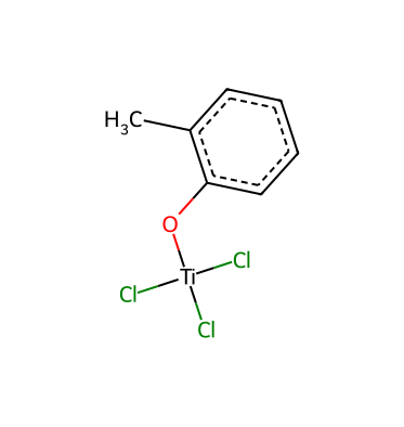 Cc1ccccc1[O][Ti]([Cl])([Cl])[Cl]